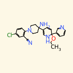 CCOC1(c2cccnc2)C=CC(C2(N)CCN(c3ccc(Cl)cc3C#N)CC2)=CN1